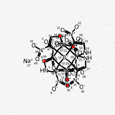 O=[N+]([O-])C1=CNN([N+](=O)[O-])C1([N+](=O)[O-])[B-](C1([N+](=O)[O-])C([N+](=O)[O-])=CNN1[N+](=O)[O-])(C1([N+](=O)[O-])C([N+](=O)[O-])=CNN1[N+](=O)[O-])C1([N+](=O)[O-])C([N+](=O)[O-])=CNN1[N+](=O)[O-].[Na+]